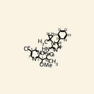 COC(c1ncc(Cl)cn1)C(C)S(=O)(=O)Nc1nnc(-c2ccccc2)n1C1(C)CC1